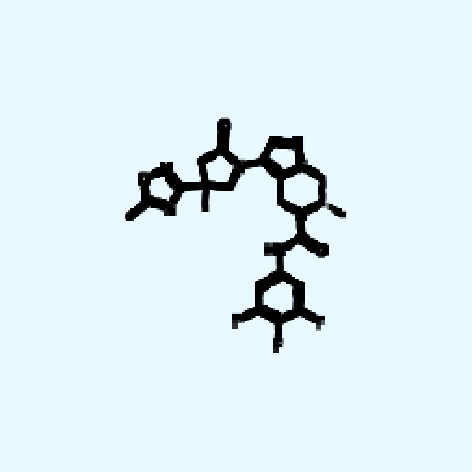 Cc1nc(C2(C)CC(=O)N(c3cnn4c3CN(C(=O)Nc3cc(F)c(F)c(F)c3)[C@@H](C)C4)C2)no1